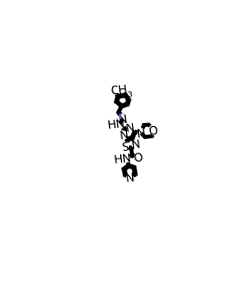 Cc1cccc(/C=N/Nc2nc(N3CCOCC3)c3nc(C(=O)Nc4ccncc4)sc3n2)c1